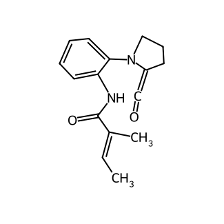 C/C=C(\C)C(=O)Nc1ccccc1N1CCCC1=C=O